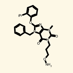 CC(C)c1ccccc1Oc1nc2c(c(=O)n(CCCON)c(=O)n2C)n1Cc1ccccc1